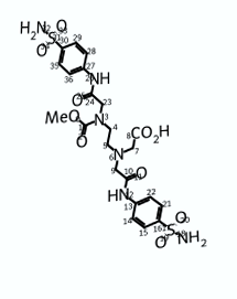 COC(=O)N(CCN(CC(=O)O)CC(=O)Nc1ccc(S(N)(=O)=O)cc1)CC(=O)Nc1ccc(S(N)(=O)=O)cc1